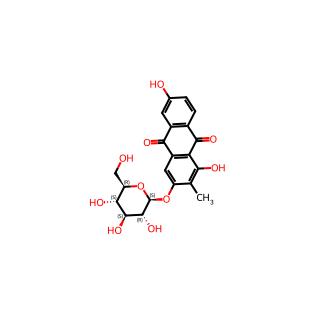 Cc1c(O[C@@H]2O[C@H](CO)[C@@H](O)[C@H](O)[C@H]2O)cc2c(c1O)C(=O)c1ccc(O)cc1C2=O